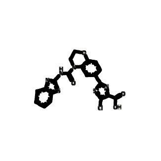 O=C(O)c1nc(-c2ccc3c(c2)N(C(=O)Nc2nc4ccccc4s2)CCO3)sc1Cl